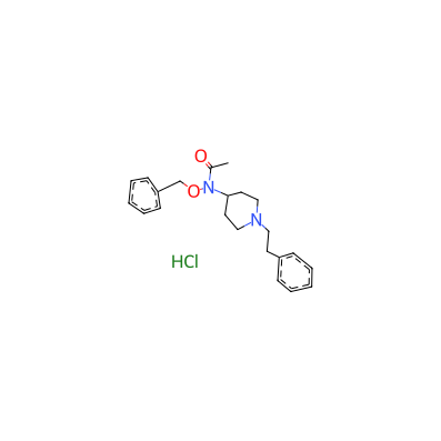 CC(=O)N(OCc1ccccc1)C1CCN(CCc2ccccc2)CC1.Cl